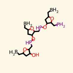 BCC1CC(O)C(CPOC2CC(CB)OC2CPOC2CC(CB)OC2CP)O1